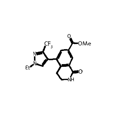 CCn1cc(-c2cc(C(=O)OC)cc3c2CCNC3=O)c(C(F)(F)F)n1